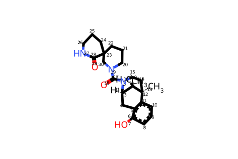 CC1(C)[C@H]2Cc3c(O)cccc3[C@]1(C)CCN2C(=O)N1CCCC2(CCCNC2=O)C1